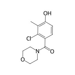 Cc1c(O)ccc(C(=O)N2CCOCC2)c1Cl